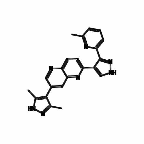 Cc1cccc(-c2n[nH]cc2-c2ccc3ncc(-c4c(C)n[nH]c4C)cc3n2)n1